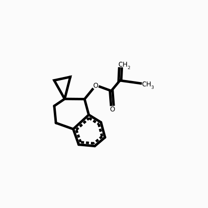 C=C(C)C(=O)OC1c2ccccc2CCC12CC2